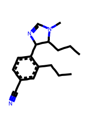 CCCc1cc(C#N)ccc1C1N=CN(C)C1CCC